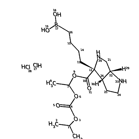 CC(C)OC(=O)OC(C)OC(=O)[C@]1(CCCCB(O)O)NC[C@@H]2NCC[C@@H]21.Cl.Cl